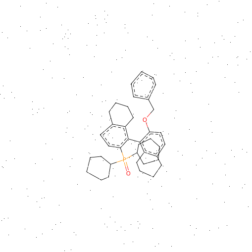 O=P(c1ccc2c(c1-c1c(OCc3ccccc3)ccc3c1CCCC3)CCCC2)(C1CCCCC1)C1CCCCC1